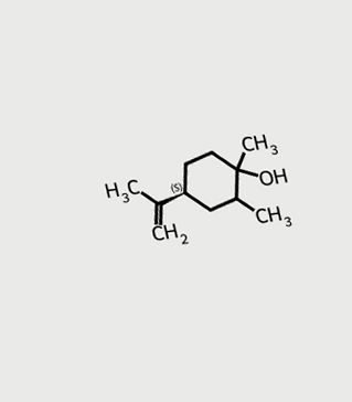 C=C(C)[C@H]1CCC(C)(O)C(C)C1